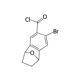 O=C(Cl)c1cc2c(cc1Br)C1CCC2O1